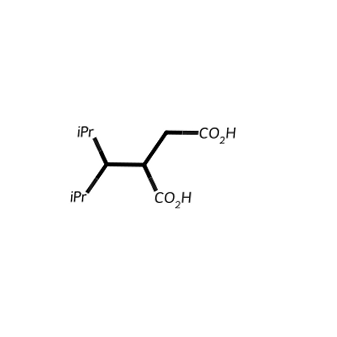 CC(C)C(C(C)C)C(CC(=O)O)C(=O)O